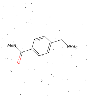 CNC(=O)c1ccc(CNC(C)=O)cc1